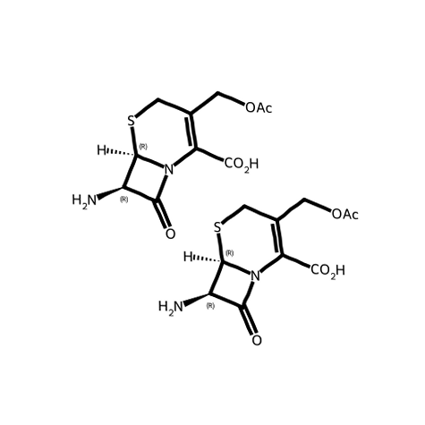 CC(=O)OCC1=C(C(=O)O)N2C(=O)[C@@H](N)[C@H]2SC1.CC(=O)OCC1=C(C(=O)O)N2C(=O)[C@@H](N)[C@H]2SC1